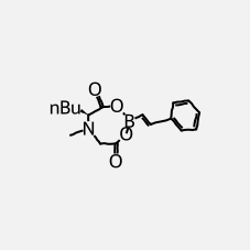 CCCC[C@H]1C(=O)OB(/C=C/c2ccccc2)OC(=O)CN1C